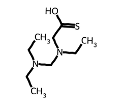 CCN(CC)CN(CC)CC(O)=S